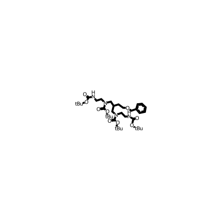 CC(C)(C)OC(=O)NCCN(CC(CCOCc1ccccc1)CN(CCNC(=O)OC(C)(C)C)C(=O)OC(C)(C)C)C(=O)OC(C)(C)C